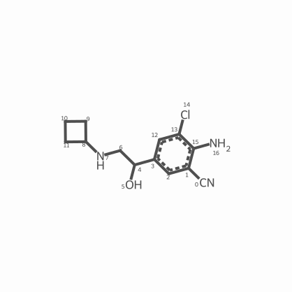 N#Cc1cc(C(O)CNC2CCC2)cc(Cl)c1N